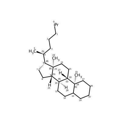 CC(C)CCC[C@H](C)[C@H]1CC[C@H]2[C@@H]3CCC4CCCC[C@]4(C)[C@H]3CC[C@]12C